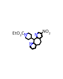 CCOC(=O)N1CCC(C2c3ncccc3CCc3cc([N+](=O)[O-])cnc32)CC1